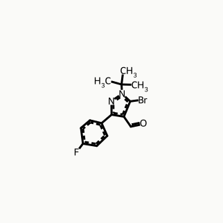 CC(C)(C)n1nc(-c2ccc(F)cc2)c(C=O)c1Br